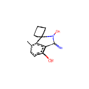 Cc1ccc(O)c2c1C1(CCC1)N(O)C2=N